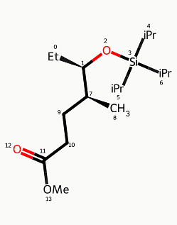 CC[C@@H](O[Si](C(C)C)(C(C)C)C(C)C)[C@@H](C)CCC(=O)OC